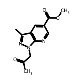 COC(=O)c1cnc2c(c1)c(I)nn2CC(C)=O